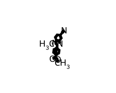 COC(=O)C12CCC(c3nc4cc(C#N)ccc4n3C)(CC1)CC2